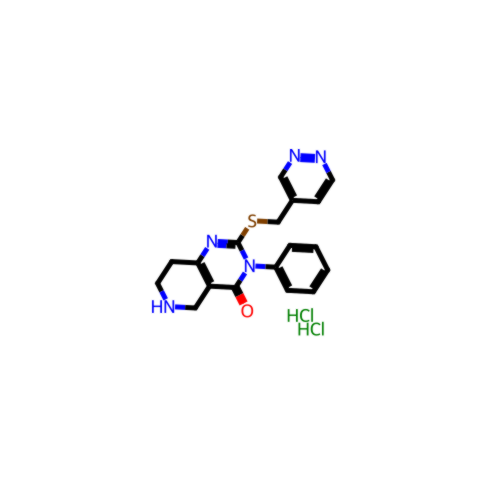 Cl.Cl.O=c1c2c(nc(SCc3ccnnc3)n1-c1ccccc1)CCNC2